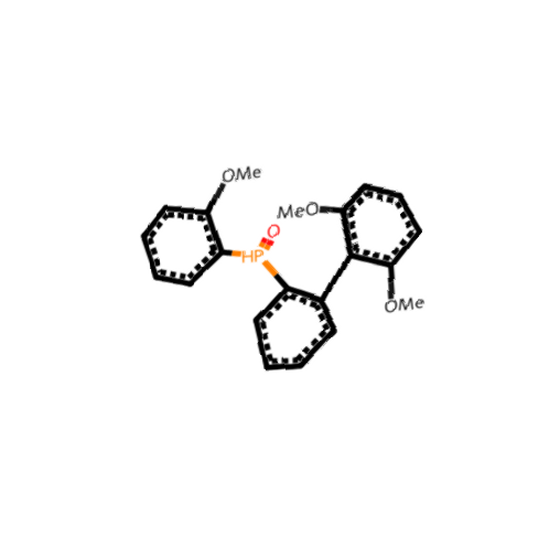 COc1ccccc1[PH](=O)c1ccccc1-c1c(OC)cccc1OC